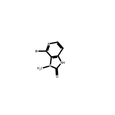 Cn1c(=O)[nH]c2ccnc(Br)c21